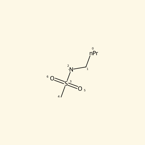 CCCC[N]S(C)(=O)=O